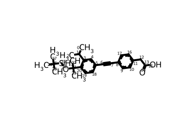 CC(C)c1cc(C#Cc2ccc(CC(=O)O)cc2)ccc1C(C)(C)O[SiH2]C(C)(C)C